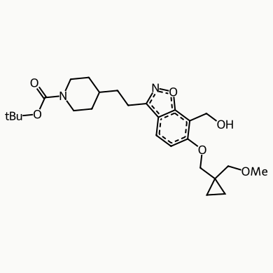 COCC1(COc2ccc3c(CCC4CCN(C(=O)OC(C)(C)C)CC4)noc3c2CO)CC1